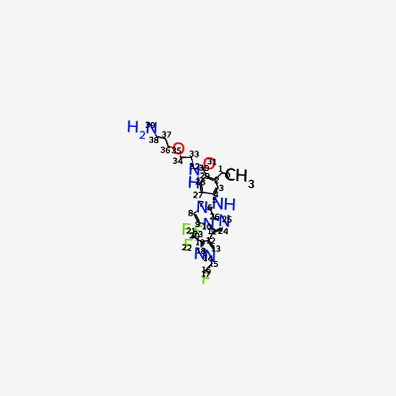 CCc1cc(Nc2nccn3c(-c4cn(CCF)nc4C(F)(F)F)cnc23)ccc1C(=O)NCCOCCCN